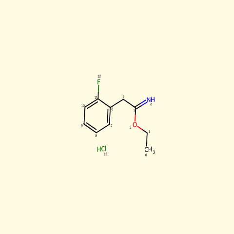 CCOC(=N)Cc1ccccc1F.Cl